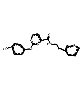 O=C(NCCc1cccnc1)c1ccnc(Nc2ccc(O)cc2)n1